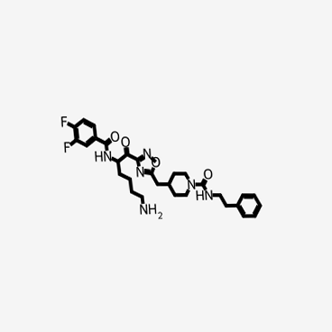 NCCCCC(NC(=O)c1ccc(F)c(F)c1)C(=O)c1noc(CC2CCN(C(=O)NCCc3ccccc3)CC2)n1